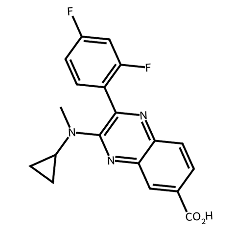 CN(c1nc2cc(C(=O)O)ccc2nc1-c1ccc(F)cc1F)C1CC1